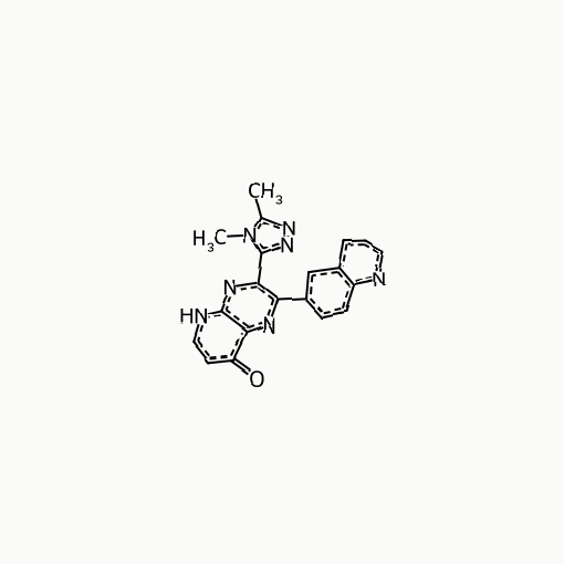 Cc1nnc(-c2nc3[nH]ccc(=O)c3nc2-c2ccc3ncccc3c2)n1C